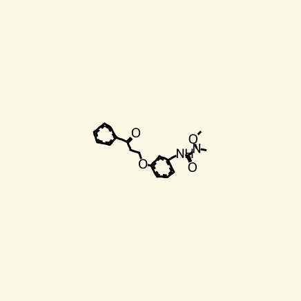 CON(C)C(=O)Nc1cccc(OCCC(=O)c2ccccc2)c1